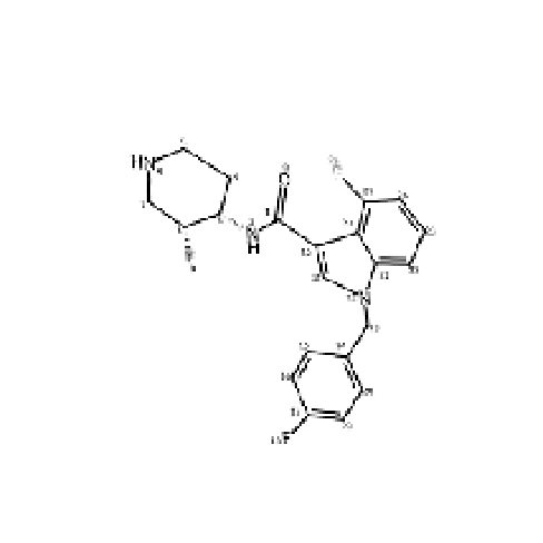 O=C(N[C@H]1CCNC[C@H]1F)c1cn(Cc2ccc(F)cc2)c2cccc(F)c12